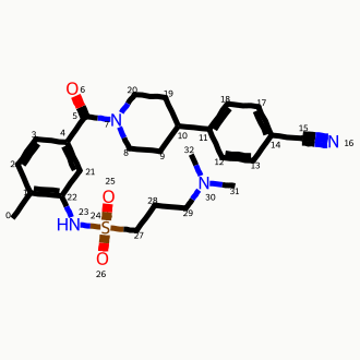 Cc1ccc(C(=O)N2CCC(c3ccc(C#N)cc3)CC2)cc1NS(=O)(=O)CCCN(C)C